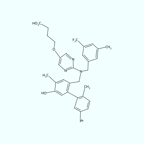 Cc1cc(CN(Cc2cc(C)c(O)cc2-c2cc(C(C)C)ccc2C)c2ncc(OCCCC(=O)O)cn2)cc(C(F)(F)F)c1